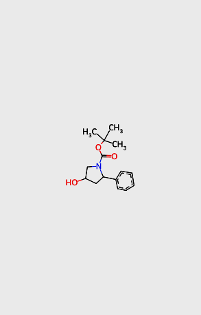 CC(C)(C)OC(=O)N1CC(O)CC1c1ccccc1